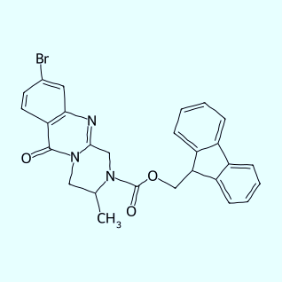 CC1Cn2c(nc3cc(Br)ccc3c2=O)CN1C(=O)OCC1c2ccccc2-c2ccccc21